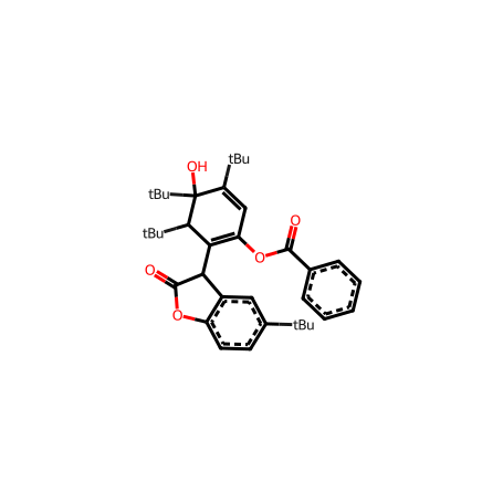 CC(C)(C)C1=CC(OC(=O)c2ccccc2)=C(C2C(=O)Oc3ccc(C(C)(C)C)cc32)C(C(C)(C)C)C1(O)C(C)(C)C